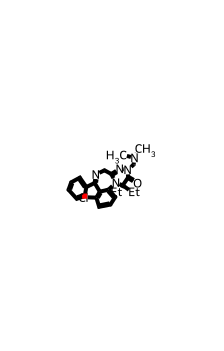 CCC1(CC)C(=O)N(CN(C)C)N=C2CN=C(c3ccccc3)c3c(Cl)cccc3N21